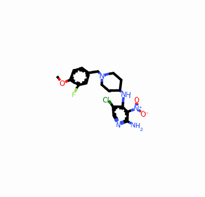 COc1ccc(CN2CCC(Nc3c(Cl)cnc(N)c3[N+](=O)[O-])CC2)cc1F